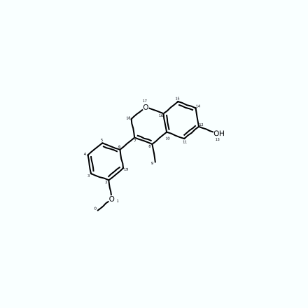 COc1cccc(C2=C(C)c3cc(O)ccc3OC2)c1